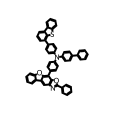 c1ccc(-c2ccc(N(c3ccc(-c4c5oc(-c6ccccc6)nc5cc5c4oc4ccccc45)cc3)c3ccc(-c4cccc5c4sc4ccccc45)cc3)cc2)cc1